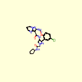 COc1ccc(Cl)cc1-c1nn(CC(=O)NC2CCCC2)cc1NC(=O)c1c(N)nn2cccnc12